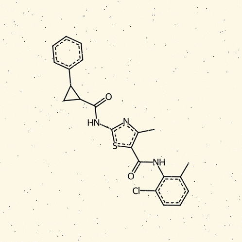 Cc1cccc(Cl)c1NC(=O)c1sc(NC(=O)C2CC2c2ccccc2)nc1C